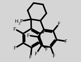 Fc1c(F)c(F)c(C2CCCCC2(P)c2c(F)c(F)c(F)c(F)c2F)c(F)c1F